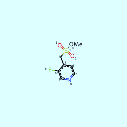 COS(=O)(=O)Cc1ccncc1F